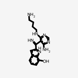 N=C(c1cc2cccc(O)c2[nH]1)c1c(N)ncnc1NCCCCN